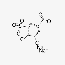 O=C([O-])c1cc(Cl)c(Cl)c(S(=O)(=O)[O-])c1.[Na+].[Na+]